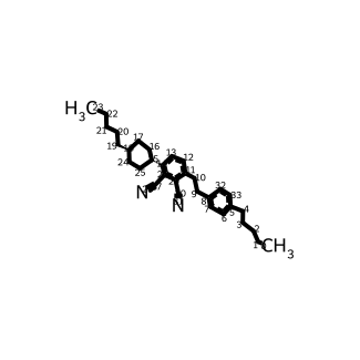 CCCCCc1ccc(CCc2ccc([C@H]3CC[C@H](CCCCC)CC3)c(C#N)c2C#N)cc1